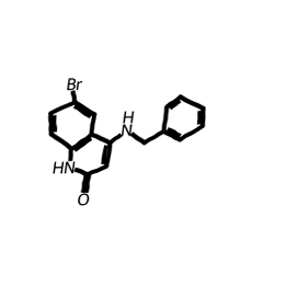 O=c1cc(NCc2ccccc2)c2cc(Br)ccc2[nH]1